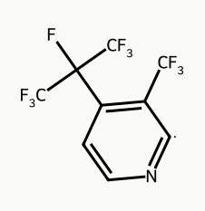 FC(F)(F)c1[c]nccc1C(F)(C(F)(F)F)C(F)(F)F